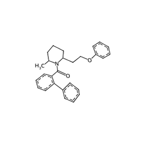 CC1CCCC(CCOc2ccccc2)N1C(=O)c1ccccc1-c1ccccc1